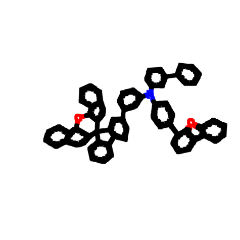 c1ccc(-c2cccc(N(c3ccc(-c4cccc5c4oc4ccccc45)cc3)c3cccc(-c4ccc5c(c4)C4(c6ccccc6-5)c5ccc6ccccc6c5Oc5c4ccc4ccccc54)c3)c2)cc1